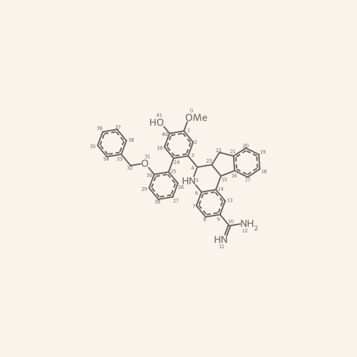 COc1cc(C2Nc3ccc(C(=N)N)cc3C3c4ccccc4CC23)c(-c2ccccc2OCc2ccccc2)cc1O